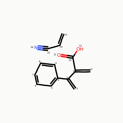 C=C(C(=C)c1ccccc1)C(=O)O.C=CC#N